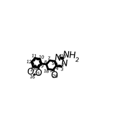 Nc1ncc2c(n1)CC(c1cccc3c1OCO3)CC2=O